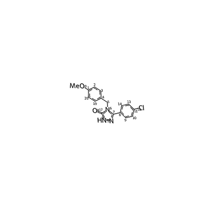 COc1ccc(Cn2c(-c3ccc(Cl)cc3)n[nH]c2=O)cc1